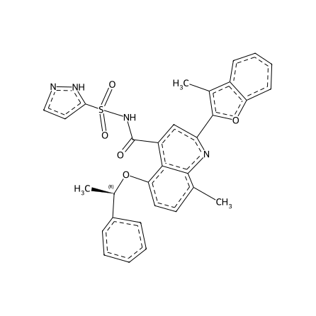 Cc1c(-c2cc(C(=O)NS(=O)(=O)c3ccn[nH]3)c3c(O[C@H](C)c4ccccc4)ccc(C)c3n2)oc2ccccc12